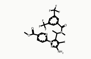 COC(=O)c1ccc(-n2nc(N)c(I)c2C(C)N(C)C(=O)c2cc(C(F)(F)F)cc(C(F)(F)F)c2)nc1